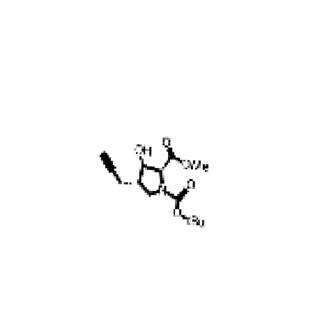 C#CC[C@H]1CN(C(=O)OC(C)(C)C)[C@H](C(=O)OC)[C@@H]1O